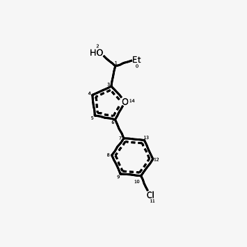 CCC(O)c1ccc(-c2ccc(Cl)cc2)o1